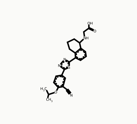 CC(C)Oc1ccc(-c2nnc(-c3cccc4c3CCCC4NCC(=O)O)s2)cc1C#N